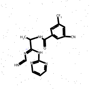 CC(NC(=O)c1cc(C#N)cc(C(F)(F)F)c1)/C(=N/C=N)Nc1ncccn1